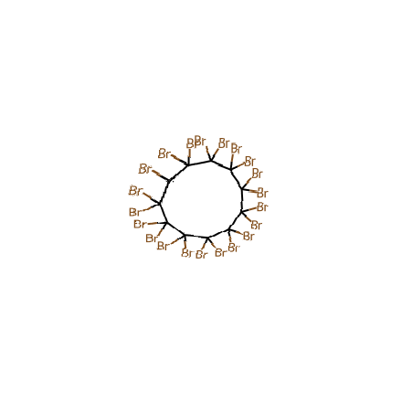 Br[C]1C(Br)(Br)C(Br)(Br)C(Br)(Br)C(Br)(Br)C(Br)(Br)C(Br)(Br)C(Br)(Br)C(Br)(Br)C(Br)(Br)C1(Br)Br